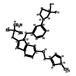 CCC(CC)(Cc1nc2ccc(OCc3ccn(C)n3)cc2n1Cc1cccc(N2CCC(F)(F)C2)c1)C(=O)O